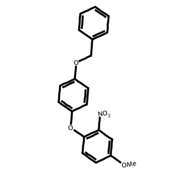 COc1ccc(Oc2ccc(OCc3ccccc3)cc2)c([N+](=O)[O-])c1